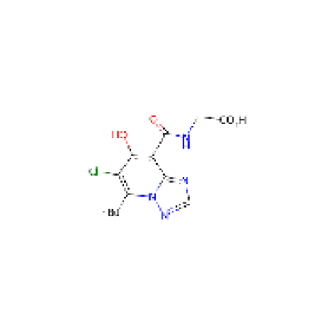 CCCCc1c(Cl)c(O)c(C(=O)NCC(=O)O)c2ncnn12